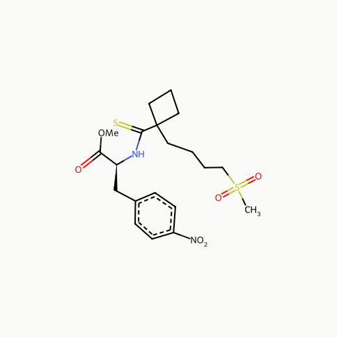 COC(=O)[C@H](Cc1ccc([N+](=O)[O-])cc1)NC(=S)C1(CCCCS(C)(=O)=O)CCC1